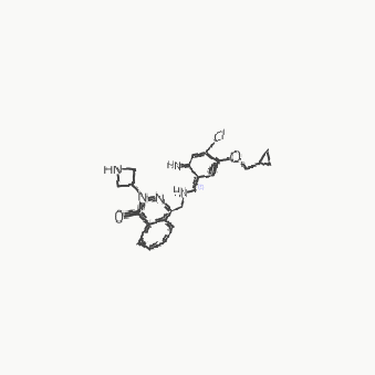 N=C1C=C(Cl)C(OCC2CC2)=C/C1=C/NCc1nn(C2CNC2)c(=O)c2ccccc12